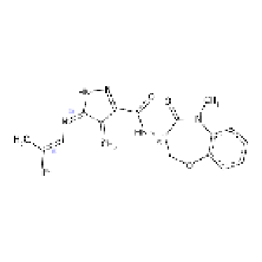 C=C1C(C(=O)N[C@H]2COc3ccccc3N(C)C2=O)=NN/C1=N/C=C(\C)C(C)C